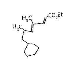 CCOC(=O)/C=C/C(C)=C/C(C)CC1CCCCC1